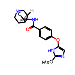 COc1ncc(Oc2ccc(C(=O)N[C@H]3CN4CCC3CC4)cc2)[nH]1